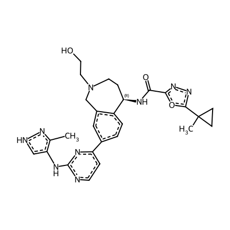 Cc1n[nH]cc1Nc1nccc(-c2ccc3c(c2)CN(CCO)CC[C@H]3NC(=O)c2nnc(C3(C)CC3)o2)n1